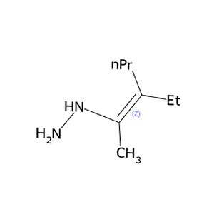 CCC/C(CC)=C(/C)NN